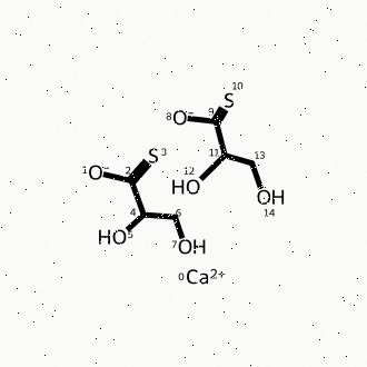 [Ca+2].[O-]C(=S)C(O)CO.[O-]C(=S)C(O)CO